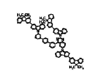 CC1(C)c2ccccc2-c2cc(-c3ccc4c(c3)c3ccccc3n4-c3cccc(-c4ccc(-c5cccc(-c6nc(-n7c8ccccc8c8cc(-c9ccc%10c(c9)-c9ccccc9C%10(C)C)ccc87)nc7ccc(-n8c9ccccc9c9cc(-c%10ccc%11c(c%10)-c%10ccccc%10C%11(C)C)ccc98)cc67)c5)cc4)c3)ccc21